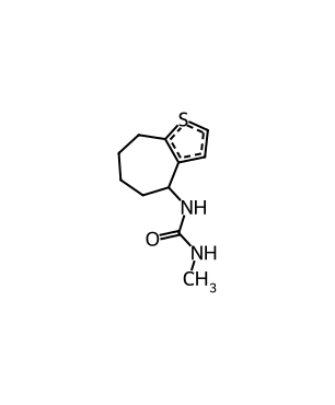 CNC(=O)NC1CCCCc2sccc21